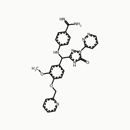 COc1cc(C(Nc2ccc(C(=N)N)cc2)c2nn(-c3cccnn3)c(=O)[nH]2)ccc1OCc1ccccn1